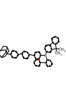 CC1(C)c2ccccc2-c2ccc(N(c3ccc(-c4ccc(-c5ccc(C67CC8CC(CC(C8)C6)C7)cc5)cc4)cc3)c3ccccc3-c3ccccc3)cc21